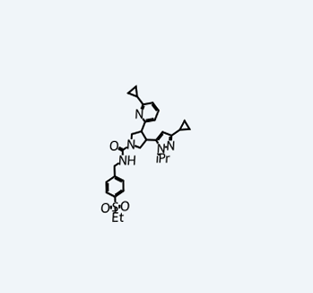 CCS(=O)(=O)c1ccc(CNC(=O)N2CC(c3cccc(C4CC4)n3)C(c3cc(C4CC4)nn3C(C)C)C2)cc1